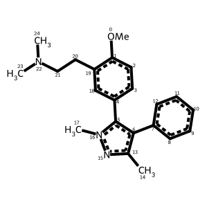 COc1ccc(-c2c(-c3ccccc3)c(C)nn2C)cc1CCN(C)C